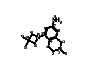 CN1CCc2c(cc(N)cc2N2CC(C)(C)C2)C1